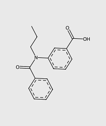 CCCN(C(=O)c1ccccc1)c1cccc(C(=O)O)c1